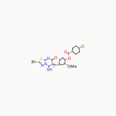 COc1cc(/C=C2/C(=N)N3N=C(C(C)C)SC3=NC2=O)ccc1OC(=O)c1ccc(Cl)cc1